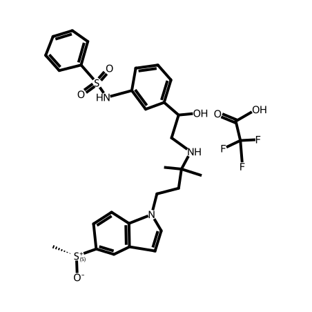 C[S@@+]([O-])c1ccc2c(ccn2CCC(C)(C)NCC(O)c2cccc(NS(=O)(=O)c3ccccc3)c2)c1.O=C(O)C(F)(F)F